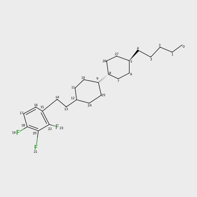 CCCCC[C@H]1CC[C@H](C2CCC(CCc3ccc(F)c(F)c3F)CC2)CC1